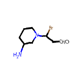 NC1CCCN(C(Br)CC=O)C1